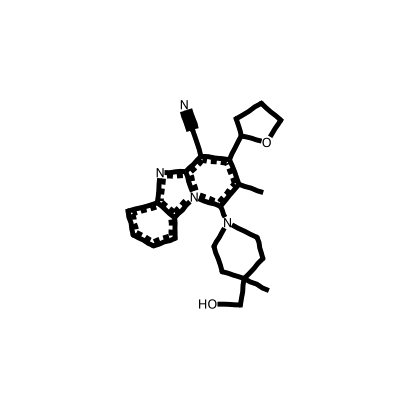 Cc1c(C2CCCO2)c(C#N)c2nc3ccccc3n2c1N1CCC(C)(CO)CC1